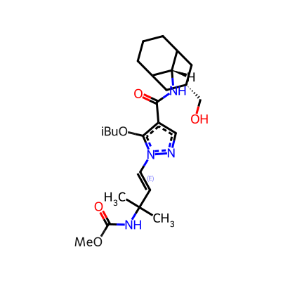 COC(=O)NC(C)(C)/C=C/n1ncc(C(=O)N[C@H]2C3CCCC2C[C@@H](CO)C3)c1OCC(C)C